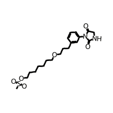 CS(=O)(=O)OCCCCCCCOCCCc1cccc(N2C(=O)CNC2=O)c1